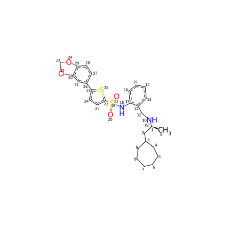 C[C@@H](CC1CCCCCC1)NCc1ccccc1NS(=O)(=O)c1ccc(-c2ccc3c(c2)OCO3)s1